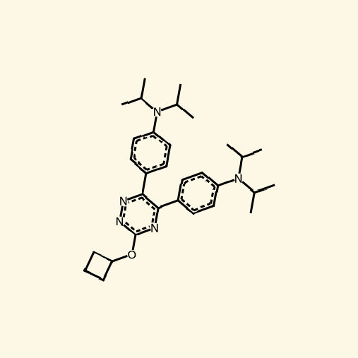 CC(C)N(c1ccc(-c2nnc(OC3CCC3)nc2-c2ccc(N(C(C)C)C(C)C)cc2)cc1)C(C)C